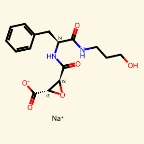 O=C(NCCCO)[C@H](Cc1ccccc1)NC(=O)[C@H]1O[C@@H]1C(=O)[O-].[Na+]